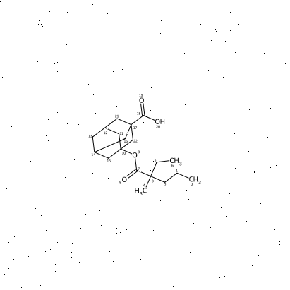 CCCC(C)(CC)C(=O)OC12CC3CC(C1)CC(C(=O)O)(C3)C2